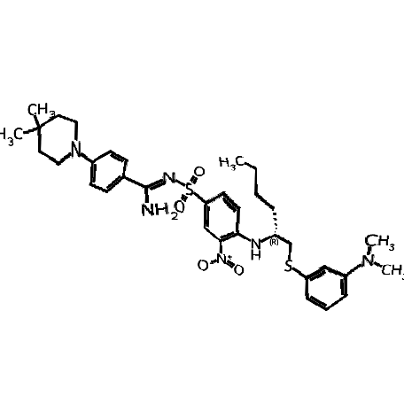 CCCC[C@H](CSc1cccc(N(C)C)c1)Nc1ccc(S(=O)(=O)N=C(N)c2ccc(N3CCC(C)(C)CC3)cc2)cc1[N+](=O)[O-]